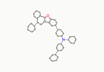 c1ccc(-c2ccc(N(c3ccccc3)c3ccc(-c4ccc5oc6c7ccccc7c(-c7ccccc7)cc6c5c4)cc3)cc2)cc1